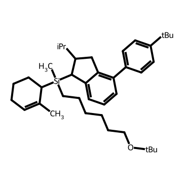 CC1=CCCCC1[Si](C)(CCCCCCOC(C)(C)C)C1c2cccc(-c3ccc(C(C)(C)C)cc3)c2CC1C(C)C